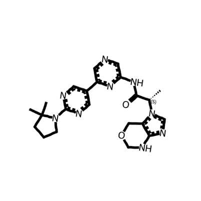 C[C@@H](C(=O)Nc1cncc(-c2cnc(N3CCCC3(C)C)nc2)n1)n1cnc2c1COCN2